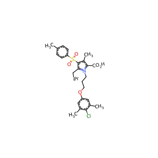 Cc1ccc(S(=O)(=O)c2c(C)c(C(=O)O)n(CCCOc3cc(C)c(Cl)c(C)c3)c2CC(C)C)cc1